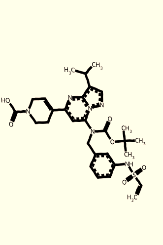 C=CS(=O)(=O)Nc1cccc(CN(C(=O)OC(C)(C)C)c2cc(C3=CCN(C(=O)O)CC3)nc3c(C(C)C)cnn23)c1